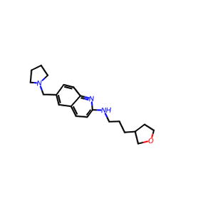 c1cc2nc(NCCCC3CCOC3)ccc2cc1CN1CCCC1